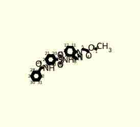 CCOC(=O)Cn1ncc2c1CCCC2NS(=O)(=O)c1cccc(NC(=O)c2ccccc2)c1